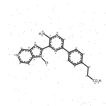 CCn1c(-c2nc(-c3ccc(CCC(=O)O)cc3)cnc2N)nc2cnccc21